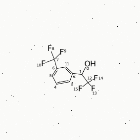 OC(c1cccc(C(F)(F)F)c1)C(F)(F)F